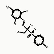 N#CCC(C#N)(N=Nc1c(Cl)cc(C(F)(F)F)cc1Cl)S(=O)(=O)c1ccc(Cl)cc1